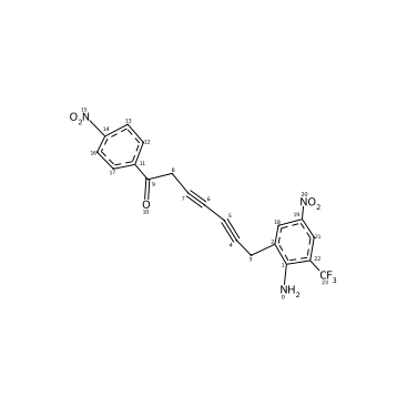 Nc1c(CC#CC#CCC(=O)c2ccc([N+](=O)[O-])cc2)cc([N+](=O)[O-])cc1C(F)(F)F